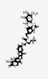 CCC(=O)Nc1cc(COC(=O)N(CCS(C)(=O)=O)COc2ccc3nc4c(c(CC)c3c2)Cn2c-4cc3c(c2=O)COC(=O)[C@]3(O)CC)ccc1O[C@@H]1O[C@H](C(=O)O)[C@@H](O)[C@H](O)[C@H]1O